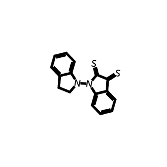 S=C1C(=S)N(N2CCc3ccccc32)c2ccccc21